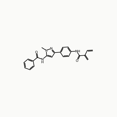 C=CC(=C)C(=O)Nc1ccc(-c2cc(NC(=O)c3ccccc3)n(C)n2)cc1